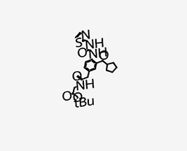 CC(C)(C)OC(=O)CNC(=O)Cc1ccc(NC(=O)Nc2nccs2)c(C(=O)C2CCCC2)c1